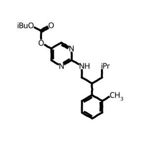 Cc1ccccc1C(CNc1ncc(OC(=O)OCC(C)C)cn1)CC(C)C